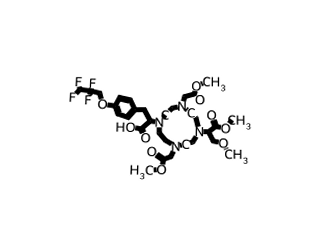 COCC(C(=O)OC)N1CCN(CC(=O)OC)CCN(C(Cc2ccc(OCC(F)(F)C(F)F)cc2)C(=O)O)CCN(CC(=O)OC)CC1